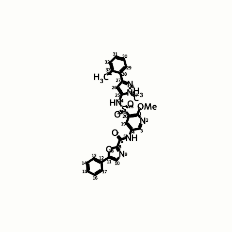 COc1ncc(NC(=O)c2ncc(-c3ccccc3)o2)cc1S(=O)(=O)Nc1cc(-c2ccccc2C)nn1C